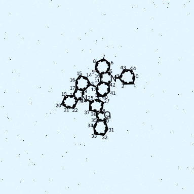 c1ccc(-n2c3ccccc3c3c(-c4cccc5c6ccccc6n(-c6ccc7oc8ccccc8c7c6)c45)cccc32)cc1